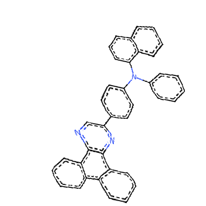 c1ccc(N(c2ccc(-c3cnc4c5ccccc5c5ccccc5c4n3)cc2)c2cccc3ccccc23)cc1